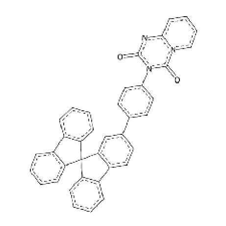 O=c1nc2ccccn2c(=O)n1-c1ccc(-c2ccc3c(c2)C2(c4ccccc4-c4ccccc42)c2ccccc2-3)cc1